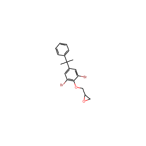 CC(C)(c1ccccc1)c1cc(Br)c(OCC2CO2)c(Br)c1